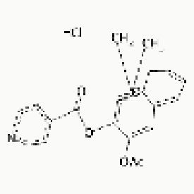 CC(=O)OC1=CC2=CC=CCC23OC(C)(C)CCC3=C1OC(=O)c1ccncc1.Cl